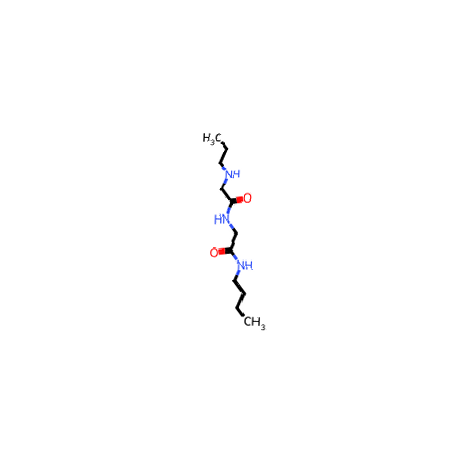 CCCCNC(=O)CNC(=O)CNCCC